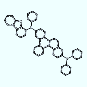 c1ccc(N(c2ccccc2)c2ccc3c(ccc4c5ccc(N(c6ccccc6)c6cccc7c6oc6ccccc67)cc5c5ccccc5c34)c2)cc1